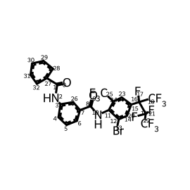 O=C(Nc1cccc(C(=O)Nc2c(Br)cc(C(F)(C(F)(F)F)C(F)(F)C(F)(F)F)cc2C(F)(F)F)c1)c1ccccc1